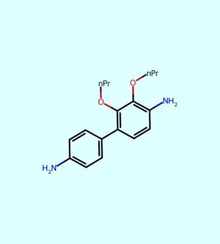 CCCOc1c(N)ccc(-c2ccc(N)cc2)c1OCCC